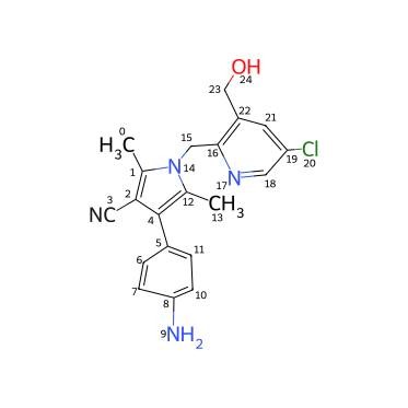 Cc1c(C#N)c(-c2ccc(N)cc2)c(C)n1Cc1ncc(Cl)cc1CO